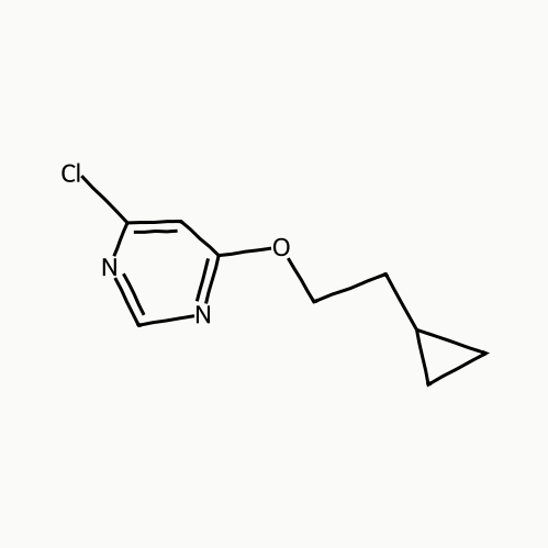 Clc1cc(OCCC2CC2)ncn1